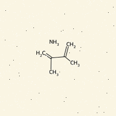 C=C(C)C(=C)C.N